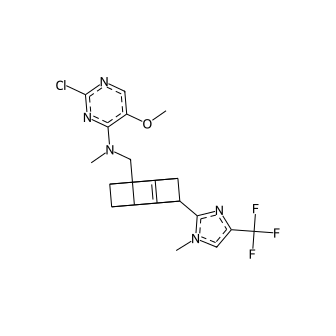 COc1cnc(Cl)nc1N(C)CC12C3=C4C1C1C2C3C41c1nc(C(F)(F)F)cn1C